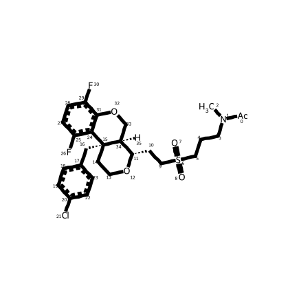 CC(=O)N(C)CCCS(=O)(=O)CC[C@@H]1OCC[C@@]2(Cc3ccc(Cl)cc3)c3c(F)ccc(F)c3OC[C@@H]12